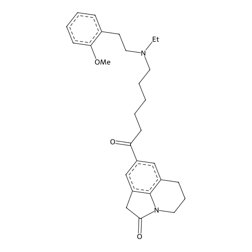 CCN(CCCCCC(=O)c1cc2c3c(c1)CC(=O)N3CCC2)CCc1ccccc1OC